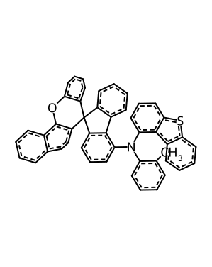 Cc1ccccc1N(c1cccc2c1-c1ccccc1C21c2ccccc2Oc2c1ccc1ccccc21)c1cccc2sc3ccccc3c12